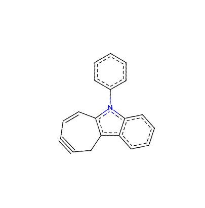 C1#CCc2c(n(-c3ccccc3)c3ccccc23)C=C1